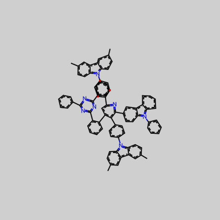 Cc1ccc2c(c1)c1cc(C)ccc1n2-c1ccc(-c2cc(-c3ccccc3-c3nc(-c4ccccc4)nc(-c4ccccc4)n3)c(-c3ccc(-n4c5ccc(C)cc5c5cc(C)ccc54)cc3)c(-c3ccc4c(c3)c3ccccc3n4-c3ccccc3)n2)cc1